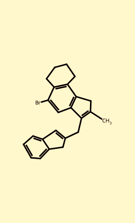 CC1=C(CC2=Cc3ccccc3C2)c2cc(Br)c3c(c2C1)CCCC3